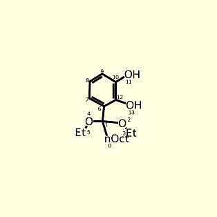 CCCCCCCCC(OCC)(OCC)c1cccc(O)c1O